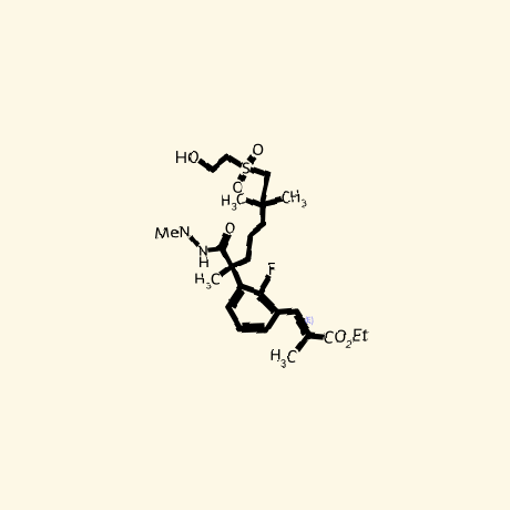 CCOC(=O)/C(C)=C/c1cccc(C(C)(CCCC(C)(C)CS(=O)(=O)CCO)C(=O)NNC)c1F